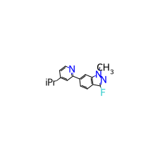 CC(C)c1ccnc(-c2ccc3c(F)nn(C)c3c2)c1